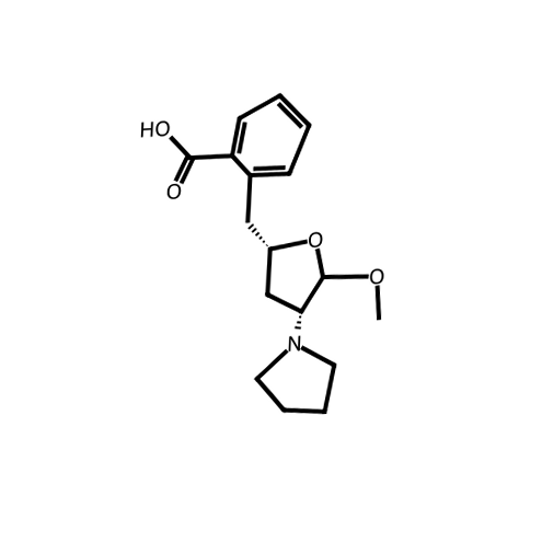 COC1O[C@@H](Cc2ccccc2C(=O)O)C[C@H]1N1CCCC1